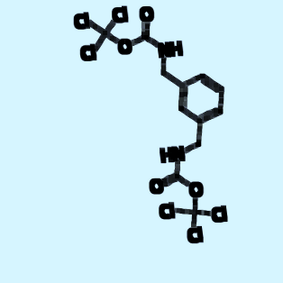 O=C(NCc1cccc(CNC(=O)OC(Cl)(Cl)Cl)c1)OC(Cl)(Cl)Cl